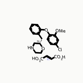 COc1cc(Cl)ccc1Oc1ccccc1C[C@H]1CNCCO1.O=C(O)/C=C/C(=O)O